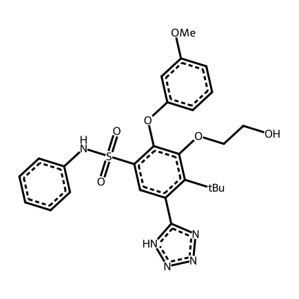 COc1cccc(Oc2c(S(=O)(=O)Nc3ccccc3)cc(-c3nnn[nH]3)c(C(C)(C)C)c2OCCO)c1